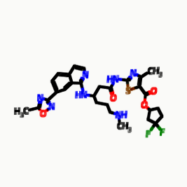 CNCCCC(CC(=O)Nc1nc(C)c(C(=O)OC2CCC(F)(F)C2)s1)Nc1nccc2ccc(-c3noc(C)n3)cc12